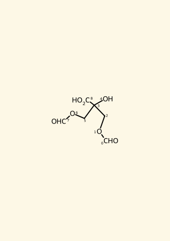 O=COCC(O)(COC=O)C(=O)O